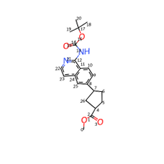 COC(=O)C1CCC(c2ccc3c(NC(=O)OC(C)(C)C)nccc3c2)C1